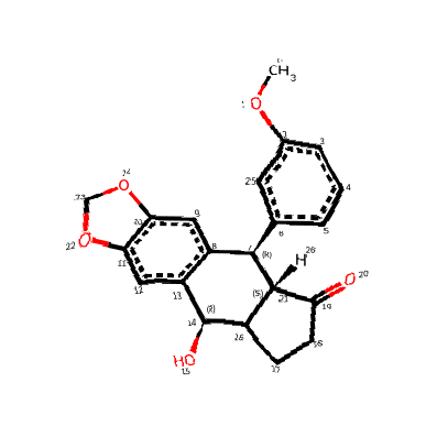 COc1cccc([C@@H]2c3cc4c(cc3[C@H](O)C3CCC(=O)[C@H]32)OCO4)c1